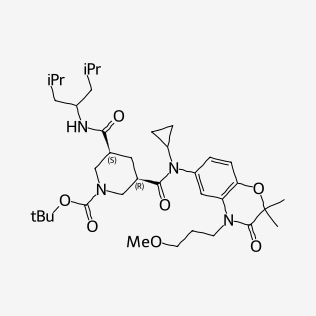 COCCCN1C(=O)C(C)(C)Oc2ccc(N(C(=O)[C@@H]3C[C@H](C(=O)NC(CC(C)C)CC(C)C)CN(C(=O)OC(C)(C)C)C3)C3CC3)cc21